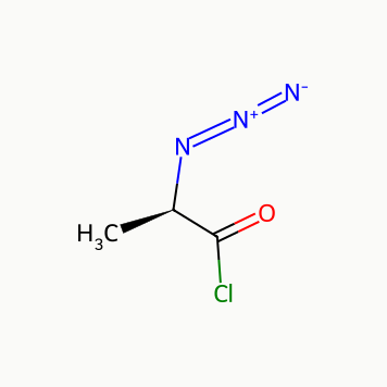 C[C@@H](N=[N+]=[N-])C(=O)Cl